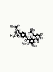 COc1c(C(=O)Nc2ccc(N(COC(=O)C(C)(C)C)S(C)(=O)=O)cc2)cc(N2C(=O)NC(=O)CC2COC(=O)C(C)(C)C)cc1C(C)(C)C